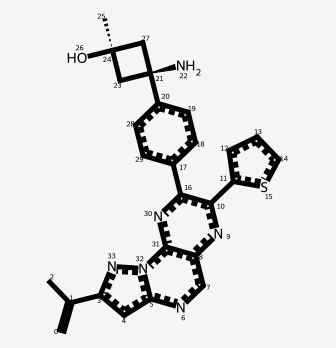 C=C(C)c1cc2ncc3nc(-c4cccs4)c(-c4ccc([C@]5(N)C[C@@](C)(O)C5)cc4)nc3n2n1